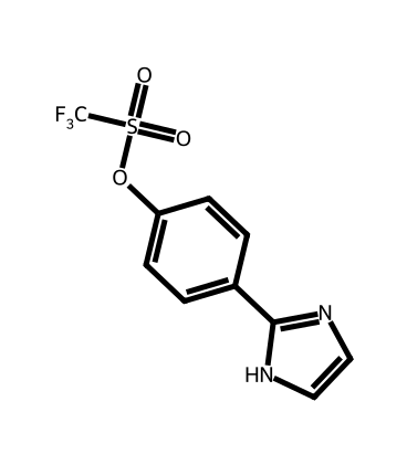 O=S(=O)(Oc1ccc(-c2ncc[nH]2)cc1)C(F)(F)F